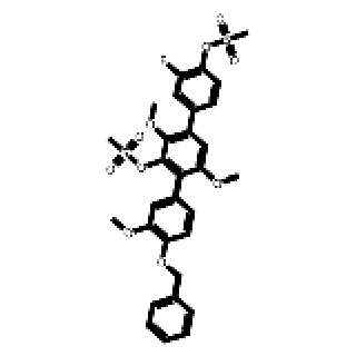 COc1cc(-c2c(OC)cc(-c3ccc(OS(C)(=O)=O)c(F)c3)c(OC)c2OS(C)(=O)=O)ccc1OCc1ccccc1